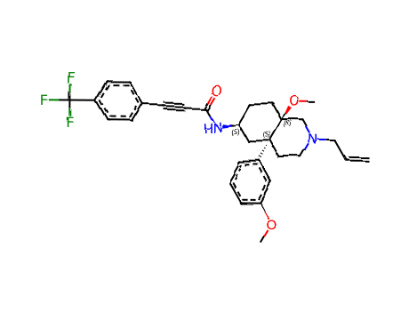 C=CCN1CC[C@@]2(c3cccc(OC)c3)C[C@@H](NC(=O)C#Cc3ccc(C(F)(F)F)cc3)CC[C@]2(OC)C1